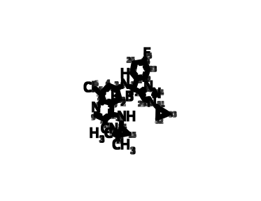 BC(Nc1cc(Cl)c2ncc(C#N)c(NC3CC3(C)C)c2c1)(c1ccc(F)cc1)c1cn(C2CC2)nn1